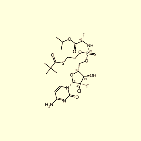 CC(C)OC(=O)[C@H](C)N[P@@](=S)(OCCSC(=O)C(C)(C)C)OC[C@H]1O[C@@H](n2ccc(N)nc2=O)[C@](F)(Cl)[C@@H]1O